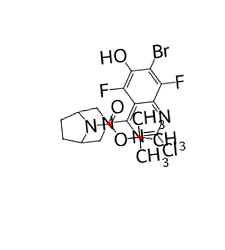 CC(C)(C)OC(=O)N1C2CCC1CN(c1nc(Cl)nc3c(F)c(Br)c(O)c(F)c13)C2